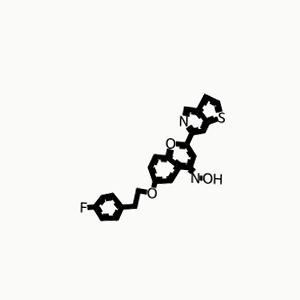 ON=c1cc(-c2cc3sccc3cn2)oc2ccc(OCCc3ccc(F)cc3)cc12